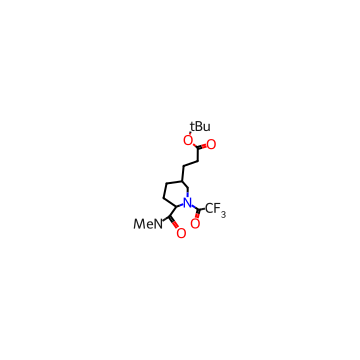 CNC(=O)C1CCC(CCC(=O)OC(C)(C)C)CN1C(=O)C(F)(F)F